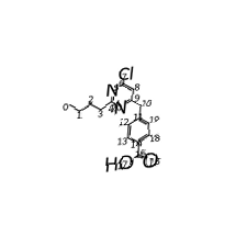 CCCCc1nc(Cl)cc(Cc2ccc(C(=O)O)cc2)n1